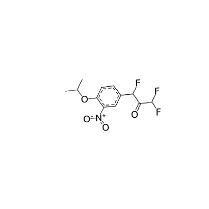 CC(C)Oc1ccc(C(F)C(=O)C(F)F)cc1[N+](=O)[O-]